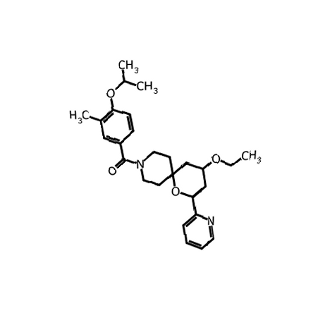 CCOC1CC(c2ccccn2)OC2(CCN(C(=O)c3ccc(OC(C)C)c(C)c3)CC2)C1